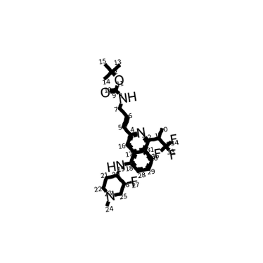 CC(c1nc(/C=C/CNC(=O)OC(C)(C)C)cc2c(N[C@@H]3CCN(C)C[C@@H]3F)cccc12)C(F)(F)F